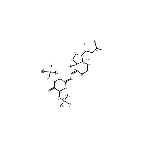 C=C1[C@H](O[Si](CC)(CC)CC)CC(=C/C=C2\CCC[C@]3(C)[C@@H]([C@H](C)CC(F)F)CC[C@@H]23)C[C@H]1O[Si](CC)(CC)CC